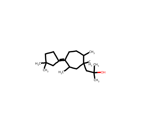 CC1CC(C)(CC(C)(C)O)C(C)CC/C1=C1\CCC(C)(C)C1